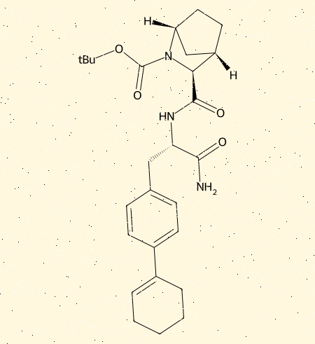 CC(C)(C)OC(=O)N1[C@@H]2CC[C@@H](C2)[C@H]1C(=O)N[C@@H](Cc1ccc(C2=CCCCC2)cc1)C(N)=O